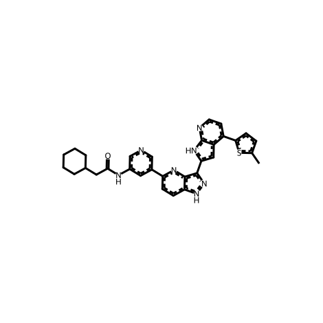 Cc1ccc(-c2ccnc3[nH]c(-c4n[nH]c5ccc(-c6cncc(NC(=O)CC7CCCCC7)c6)nc45)cc23)s1